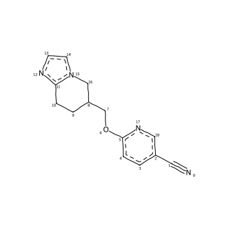 N#Cc1ccc(OCC2CCc3nccn3C2)nc1